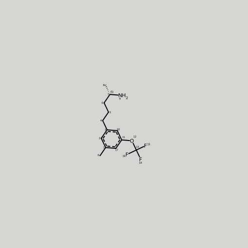 Cc1cc(CCC[C@H](C)N)cc(OC(F)(F)F)c1